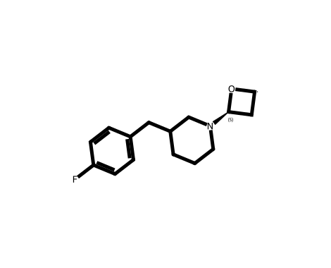 Fc1ccc(CC2CCCN([C@@H]3C[CH]O3)C2)cc1